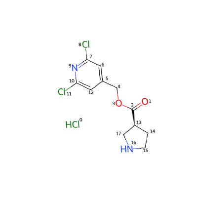 Cl.O=C(OCc1cc(Cl)nc(Cl)c1)[C@H]1CCNC1